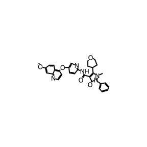 COc1ccc2c(Oc3ccc(NC(=O)c4c(C5CCOCC5)n(C)n(-c5ccccc5)c4=O)nc3)ccnc2c1